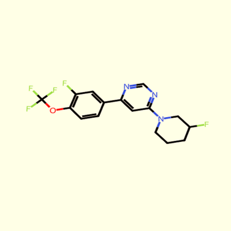 Fc1cc(-c2cc(N3CCCC(F)C3)ncn2)ccc1OC(F)(F)F